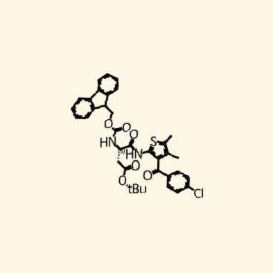 Cc1sc(NC(=O)[C@H](CC(=O)OC(C)(C)C)NC(=O)OCC2c3ccccc3-c3ccccc32)c(C(=O)c2ccc(Cl)cc2)c1C